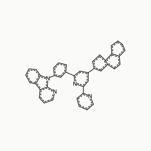 c1ccc(-c2cc(-c3ccc4c(ccc5ccccc54)c3)cc(-c3cccc(-n4c5ccccc5c5cccnc54)c3)n2)nc1